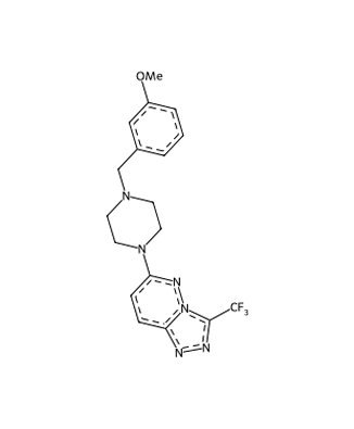 COc1cccc(CN2CCN(c3ccc4nnc(C(F)(F)F)n4n3)CC2)c1